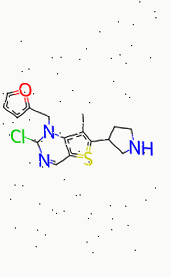 Cc1c(C2CCNC2)sc2c1N(Cc1ccco1)C(Cl)N=C2